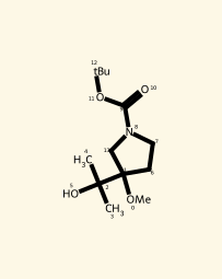 COC1(C(C)(C)O)CCN(C(=O)OC(C)(C)C)C1